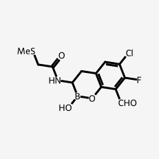 CSCC(=O)NC1Cc2cc(Cl)c(F)c(C=O)c2OB1O